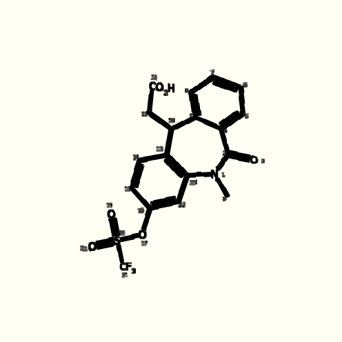 CN1C(=O)c2ccccc2C(CC(=O)O)c2ccc(OS(=O)(=O)C(F)(F)F)cc21